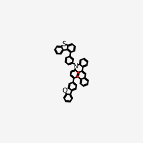 c1cc(-c2cccc3sc4ccccc4c23)cc(N(c2ccc(-c3ccc4c(c3)oc3ccccc34)cc2)c2ccccc2-c2ccc3ccccc3c2)c1